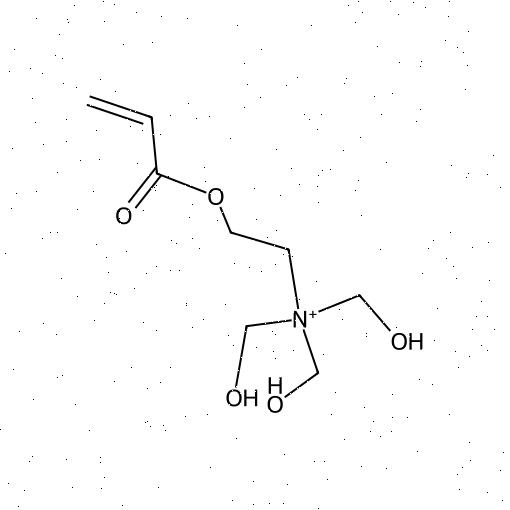 C=CC(=O)OCC[N+](CO)(CO)CO